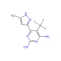 Cc1cc(-c2nc(N)nc(N)c2C(F)(F)F)n[nH]1